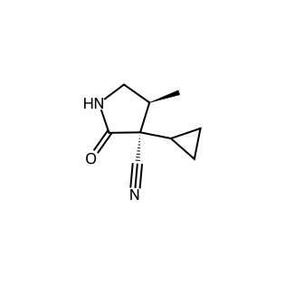 C[C@@H]1CNC(=O)[C@]1(C#N)C1CC1